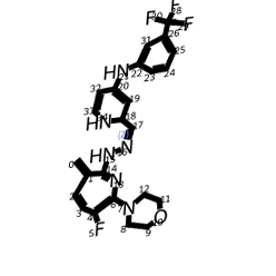 C=C1C=CC(F)=C(N2CCOCC2)N=C1N/N=C\C1C=C(Nc2cccc(C(F)(F)F)c2)C=CN1